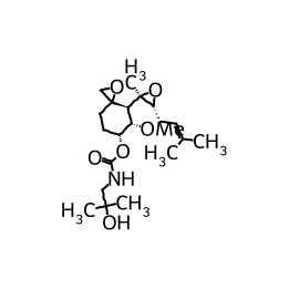 CO[C@@H]1[C@H](OC(=O)NCC(C)(C)O)CCC2(CO2)[C@H]1[C@@]1(C)O[C@@H]1CC=C(C)C